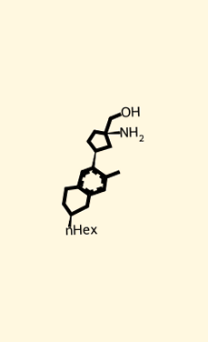 CCCCCC[C@H]1CCc2cc([C@H]3CC[C@](N)(CO)C3)c(C)cc2C1